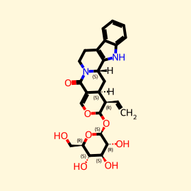 C=C[C@H]1C(O[C@@H]2O[C@H](CO)[C@@H](O)[C@H](O)[C@H]2O)OC=C2C(=O)N3CCc4c([nH]c5ccccc45)[C@@H]3C[C@H]21